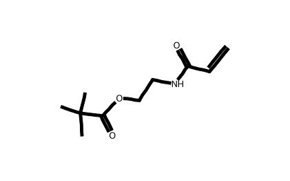 C=CC(=O)NCCOC(=O)C(C)(C)C